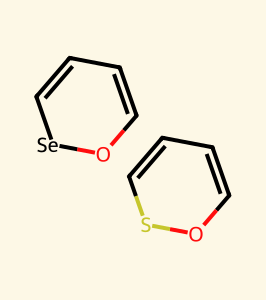 C1=COSC=C1.C1=CO[Se]C=C1